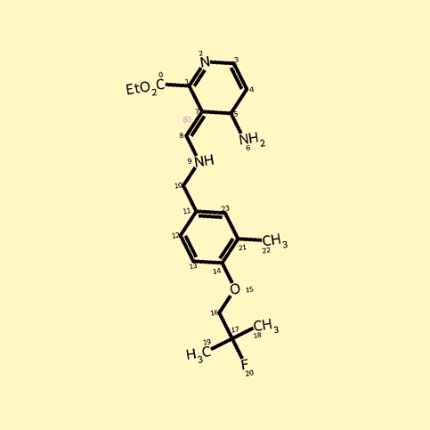 CCOC(=O)C1=NC=CC(N)/C1=C\NCc1ccc(OCC(C)(C)F)c(C)c1